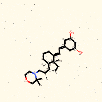 C[C@H](CN1CCOCC1(C)C)[C@H]1CC[C@H]2/C(=C/C=C3C[C@@H](O)C[C@H](O)C3)CCC[C@]12C